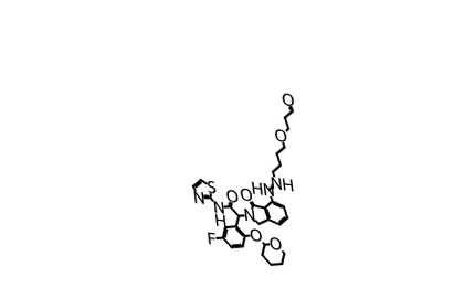 O=CCCOCCCCNNc1cccc2c1C(=O)N(C(C(=O)Nc1nccs1)c1cc(F)ccc1OC1CCCCO1)C2